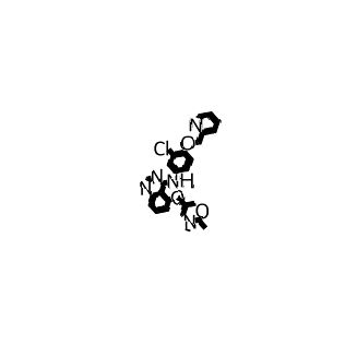 CC(=O)N(C)CC(C)Oc1cccc2ncnc(Nc3ccc(OCc4ccccn4)c(Cl)c3)c12